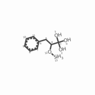 OC(O)(O)C(Cc1ccccc1)O[SiH3]